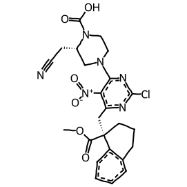 COC(=O)[C@@]1(Cc2nc(Cl)nc(N3CCN(C(=O)O)[C@@H](CC#N)C3)c2[N+](=O)[O-])CCCc2ccccc21